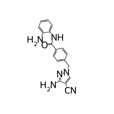 N#Cc1cn(Cc2ccc(C(=O)Nc3ccccc3N)cc2)nc1N